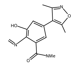 C=Nc1c(O)cc(-c2c(C)noc2C)cc1C(=O)NC